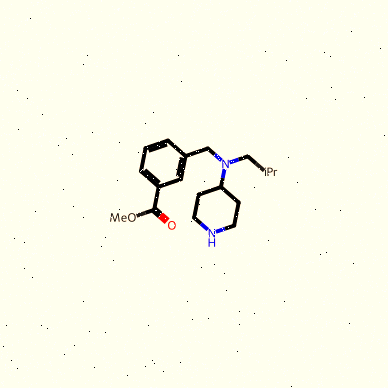 COC(=O)c1cccc(CN(CC(C)C)C2CCNCC2)c1